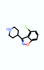 Fc1cccc2onc(C3CCNCC3)c12